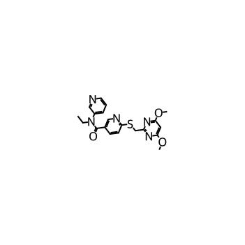 CCN(C(=O)c1ccc(SCc2nc(OC)cc(OC)n2)nc1)c1cccnc1